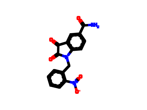 NC(=O)c1ccc2c(c1)C(=O)C(=O)N2Cc1ccccc1[N+](=O)[O-]